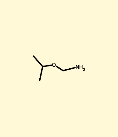 CC(C)OCN